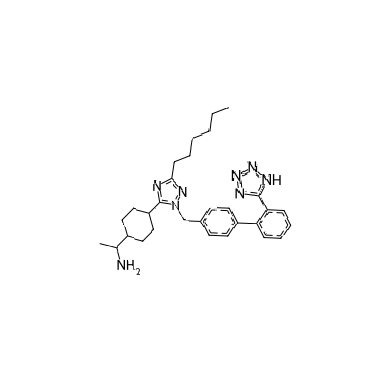 CCCCCCc1nc(C2CCC(C(C)N)CC2)n(Cc2ccc(-c3ccccc3-c3nnn[nH]3)cc2)n1